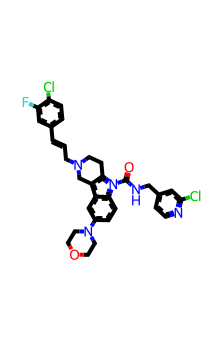 O=C(NCc1ccnc(Cl)c1)n1c2c(c3cc(N4CCOCC4)ccc31)CN(C/C=C/c1ccc(Cl)c(F)c1)CC2